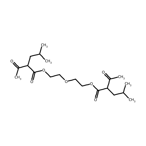 CC(=O)C(CC(C)C)C(=O)OCCOCCOC(=O)C(CC(C)C)C(C)=O